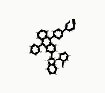 C#C/C=C\C(=C/C)c1ccc(-c2c3ccccc3c(-c3ccccc3)c3cc(-c4nc5ccccc5n4C4C=CC=CC4C)ccc23)cc1